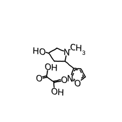 CN1CC(O)CC1c1ccon1.O=C(O)C(=O)O